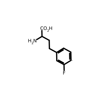 NC(CCc1cc[c]c(F)c1)C(=O)O